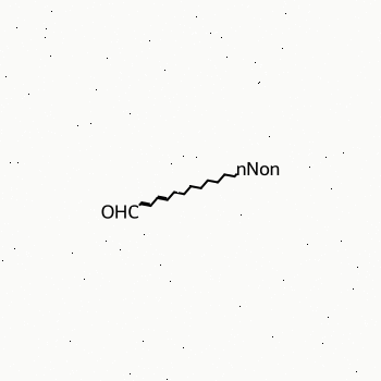 CCCCCCCCCCCCCCCCCC=CC=CC=O